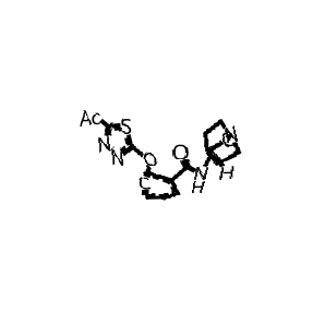 CC(=O)c1nnc(Oc2ccccc2C(=O)N[C@H]2CN3CCC2CC3)s1